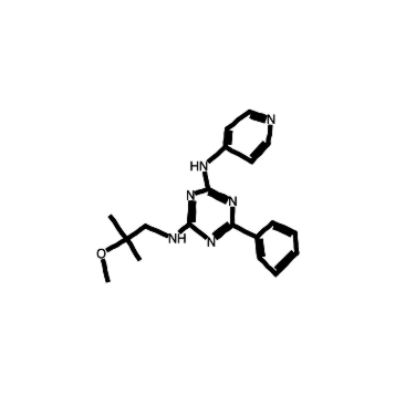 COC(C)(C)CNc1nc(Nc2ccncc2)nc(-c2ccccc2)n1